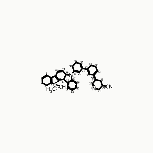 CS1(C)C2=C(C=CCC2)C2=C1C1c3ccccc3N(C3=CC(C4=CC(C5C=NCC(C#N)C5)=CCC4)=CCC3)C1C=C2